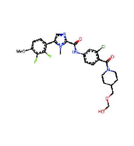 COc1ccc(-c2cnc(C(=O)Nc3ccc(C(=O)N4CCC(COCO)CC4)c(Cl)c3)n2C)c(F)c1F